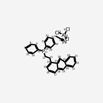 CC#N.[Cl][Au]([Cl])[Cl].c1ccc(P(CCc2cccc3cc4ccccc4cc23)c2ccccc2)cc1